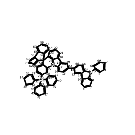 c1ccc(-n2c3ccccc3c3cc(-c4ccc5c(c4)c4cccc6c4n5-c4cc([Si](c5ccccc5)(c5ccccc5)c5ccccc5)ccc4C64c5ccccc5-c5ccccc54)ccc32)cc1